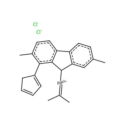 C[C](C)=[Hf+2][CH]1c2cc(C)ccc2-c2ccc(C)c(C3=CC=CC3)c21.[Cl-].[Cl-]